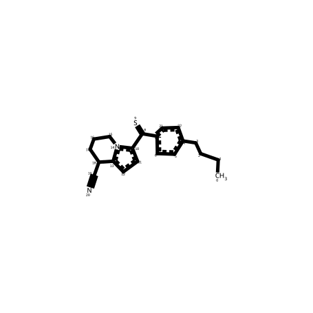 CCCCc1ccc(C(=S)c2ccc3n2CCCC3C#N)cc1